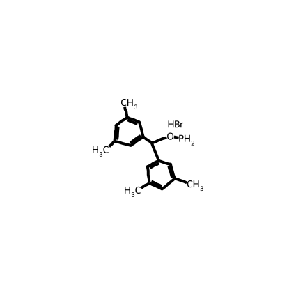 Br.Cc1cc(C)cc(C(OP)c2cc(C)cc(C)c2)c1